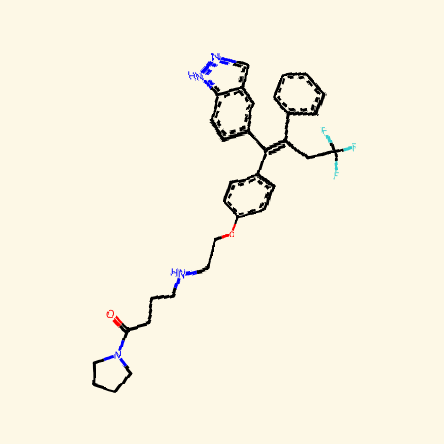 O=C(CCCNCCOc1ccc(C(=C(CC(F)(F)F)c2ccccc2)c2ccc3[nH]ncc3c2)cc1)N1CCCC1